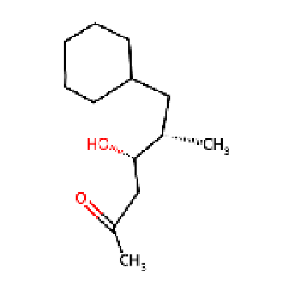 CC(=O)C[C@H](O)[C@@H](C)CC1CCCCC1